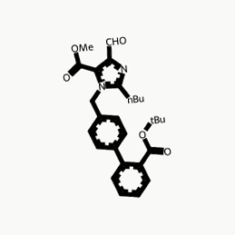 CCCCc1nc(C=O)c(C(=O)OC)n1Cc1ccc(-c2ccccc2C(=O)OC(C)(C)C)cc1